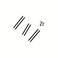 C=C.C=C.C=C.[Zr]